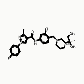 Cc1nn(-c2ccc(F)cc2)cc1C(=O)Nc1ccc(CN2CCC[C@H]([C@](C)(O)CO)C2)c(Cl)c1